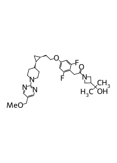 COCc1cnc(N2CCC([C@H]3C[C@H]3CCOc3cc(F)c(CC(=O)N4CC(C(C)(C)O)C4)c(F)c3)CC2)nc1